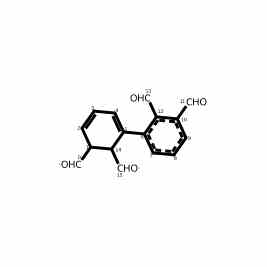 O=[C]C1C=CC=C(c2cccc(C=O)c2C=O)C1[C]=O